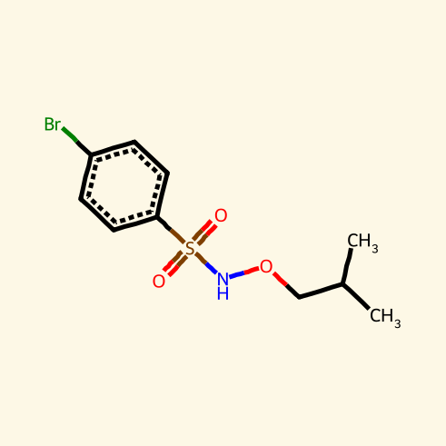 CC(C)CONS(=O)(=O)c1ccc(Br)cc1